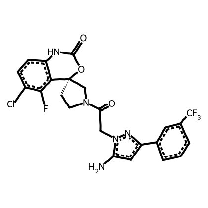 Nc1cc(-c2cccc(C(F)(F)F)c2)nn1CC(=O)N1CC[C@@]2(C1)OC(=O)Nc1ccc(Cl)c(F)c12